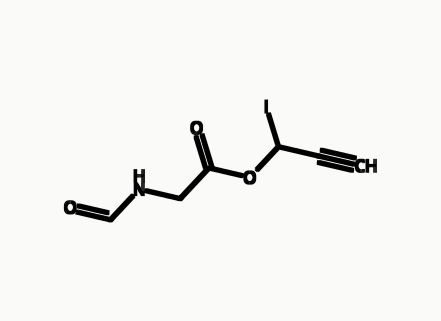 C#CC(I)OC(=O)CNC=O